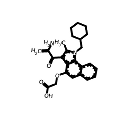 C=C(N)C(=O)c1c(C)n(CC2CCCCC2)c2c1c(OCC(=O)O)cc1ccccc12